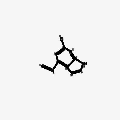 O=Nc1cc(Cl)nc2[nH]ccc12